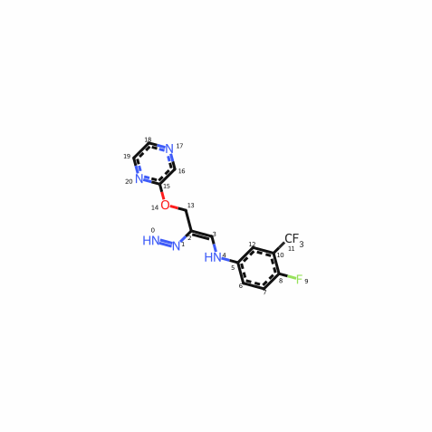 N=N/C(=C\Nc1ccc(F)c(C(F)(F)F)c1)COc1cnccn1